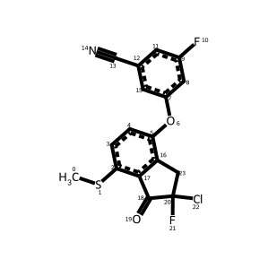 CSc1ccc(Oc2cc(F)cc(C#N)c2)c2c1C(=O)C(F)(Cl)C2